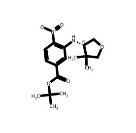 CC(C)(C)OC(=O)c1ccc([N+](=O)[O-])c(N[C@@H]2COCC2(C)C)c1